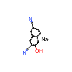 N#Cc1ccc2cc(O)c(C#N)cc2c1.[Na]